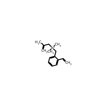 C=Cc1ccccc1C[N+](C)(C)CC(=C)C